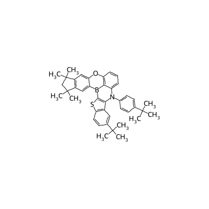 CC(C)(C)c1ccc(N2c3cccc4c3B(c3cc5c(cc3O4)C(C)(C)CC5(C)C)c3sc4ccc(C(C)(C)C)cc4c32)cc1